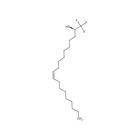 CCCCCCCC/C=C\CCCCCCC[C@@H](O)C(F)(F)F